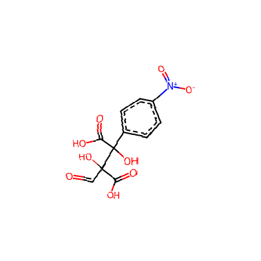 O=CC(O)(C(=O)O)C(O)(C(=O)O)c1ccc([N+](=O)[O-])cc1